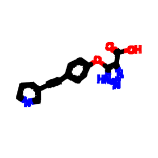 O=C(O)c1nn[nH]c1Oc1ccc(C#Cc2cccnc2)cc1